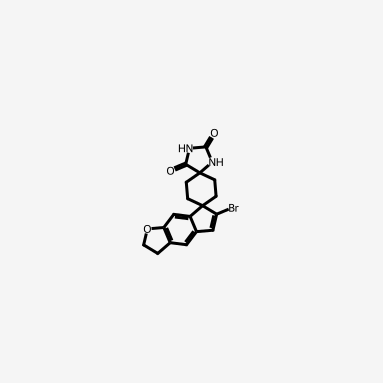 O=C1NC(=O)C2(CCC3(CC2)C(Br)=Cc2cc4c(cc23)OCC4)N1